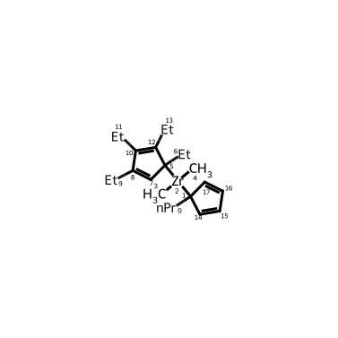 CCC[C]1([Zr]([CH3])([CH3])[C]2(CC)C=C(CC)C(CC)=C2CC)C=CC=C1